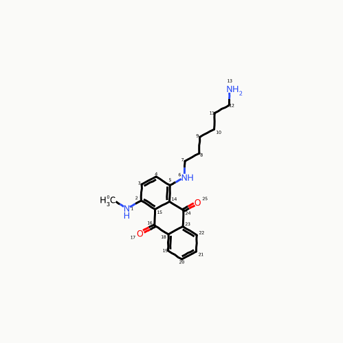 CNc1ccc(NCCCCCCN)c2c1C(=O)c1ccccc1C2=O